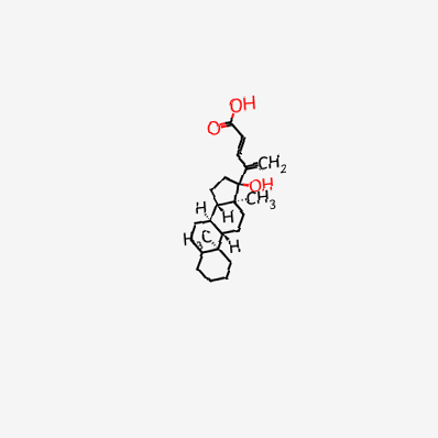 C=C(C=CC(=O)O)[C@@]1(O)CC[C@H]2[C@@H]3CCC4CCCC[C@]4(C)[C@H]3CC[C@@]21C